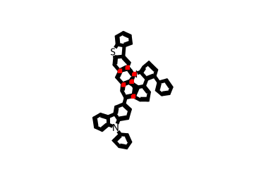 c1ccc(-c2ccccc2-c2c(-c3ccccc3)cccc2N(c2ccc(-c3ccc4c(c3)c3ccccc3n4-c3ccccc3)cc2)c2ccc3sc4ccccc4c3c2)cc1